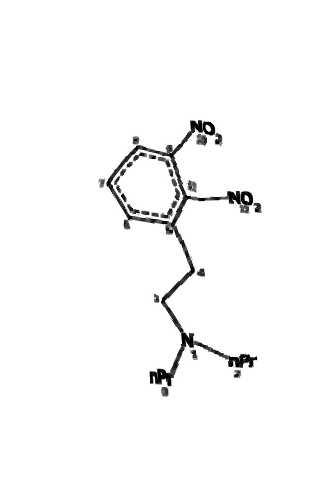 CCCN(CCC)CCc1cccc([N+](=O)[O-])c1[N+](=O)[O-]